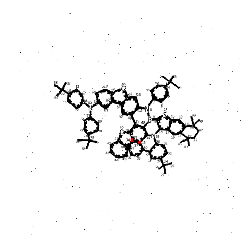 CC(C)(C)c1ccc(N2B3c4sc5cc6c(cc5c4N(c4ccc(C(C)(C)C)cc4-c4ccccc4)c4cc5c(oc7ccccc75)c(c43)-c3cc4c(cc32)oc2ccc(N(c3ccc(C(C)(C)C)cc3)c3ccc(C(C)(C)C)cc3)cc24)C(C)(C)CCC6(C)C)cc1